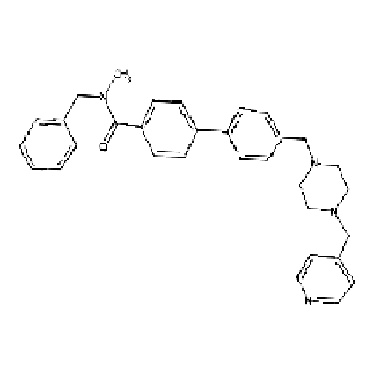 CN(Cc1ccccc1)C(=O)c1ccc(-c2ccc(CN3CCN(Cc4ccncc4)CC3)cc2)cc1